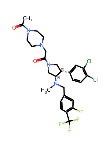 CC(=O)N1CCN(CC(=O)N2C[C@H](c3ccc(Cl)c(Cl)c3)[C@@H](N(C)Cc3ccc(C(F)(F)F)c(F)c3)C2)CC1